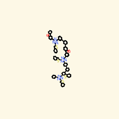 c1ccc(-c2nc(-c3cc4ccccc4s3)nc(-c3ccc(-c4cccc(-c5ccc(-c6nc(-c7ccc8oc9cc(-c%10cccc(-c%11cccc(-c%12nc(-c%13ccc%14oc%15ccccc%15c%14c%13)nc(-c%13cc%14ccccc%14s%13)n%12)c%11)c%10)ccc9c8c7)nc(-c7cc8ccccc8s7)n6)cc5)c4)c4c3sc3ccccc34)n2)cc1